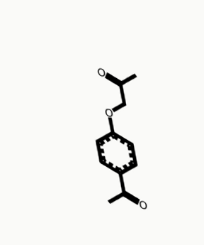 CC(=O)COc1ccc(C(C)=O)cc1